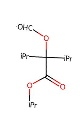 CC(C)OC(=O)C(O[C]=O)(C(C)C)C(C)C